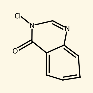 O=c1c2ccccc2ncn1Cl